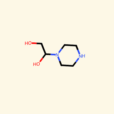 OCC(O)N1CCNCC1